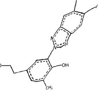 Cc1cc(CCO)cc(-n2nc3cc(I)c(I)cc3n2)c1O